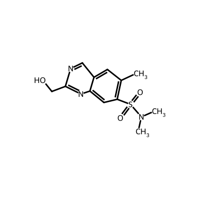 Cc1cc2cnc(CO)nc2cc1S(=O)(=O)N(C)C